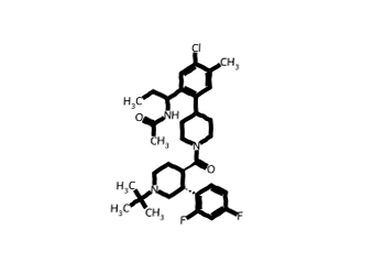 CCC(NC(C)=O)c1cc(Cl)c(C)cc1C1CCN(C(=O)[C@@H]2CCN(C(C)(C)C)C[C@H]2c2ccc(F)cc2F)CC1